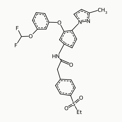 CCS(=O)(=O)c1ccc(CC(=O)Nc2ccc(-n3ccc(C)n3)c(Oc3cccc(OC(F)F)c3)c2)cc1